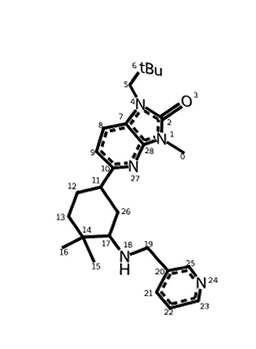 Cn1c(=O)n(CC(C)(C)C)c2ccc(C3CCC(C)(C)C(NCc4cccnc4)C3)nc21